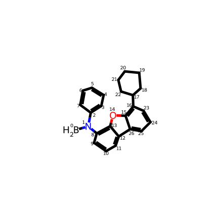 BN(c1ccccc1)c1cccc2c1oc1c(C3CCCCC3)cccc12